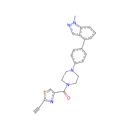 C#Cc1nc(C(=O)N2CCN(c3ccc(-c4cccc5c4cnn5C)cc3)CC2)cs1